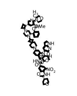 COc1cc([C@H]2CC[C@@H]2N2CCN(C3CC4(CCN(c5ccc(C(=O)NS(=O)(=O)c6cc7c(c([N+](=O)[O-])c6)N[C@H](C6CCOCC6)CO7)c(N6c7cc8cc[nH]c8nc7O[C@H]7COCC[C@@H]76)c5)CC4)C3)[C@H](c3ccccc3OC(C)C)C2)cnc1N1CCOC[C@@H]1C